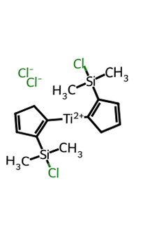 C[Si](C)(Cl)C1=[C]([Ti+2][C]2=C([Si](C)(C)Cl)C=CC2)CC=C1.[Cl-].[Cl-]